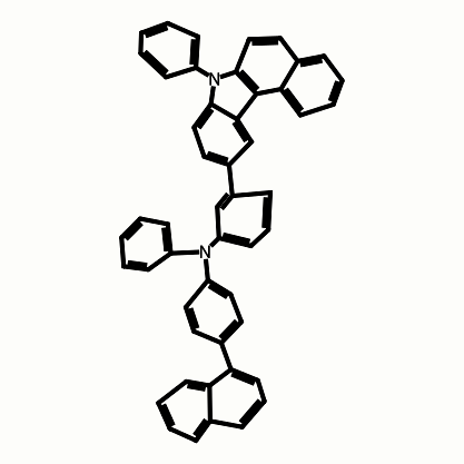 c1ccc(N(c2ccc(-c3cccc4ccccc34)cc2)c2cccc(-c3ccc4c(c3)c3c5ccccc5ccc3n4-c3ccccc3)c2)cc1